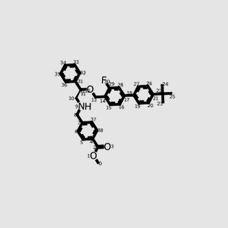 COC(=O)c1ccc(CNC[C@H](OCc2ccc(-c3ccc(C(C)(C)C)cc3)cc2F)c2ccccc2)cc1